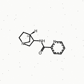 O=C(NC1CN2CC[C@H]1C2)c1ccccn1